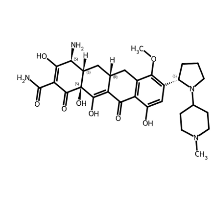 COc1c([C@@H]2CCCN2C2CCN(C)CC2)cc(O)c2c1C[C@H]1C[C@H]3[C@H](N)C(O)=C(C(N)=O)C(=O)[C@@]3(O)C(O)=C1C2=O